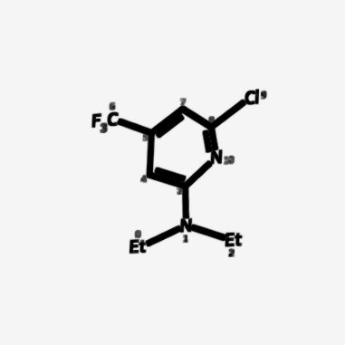 CCN(CC)c1cc(C(F)(F)F)cc(Cl)n1